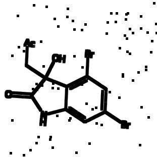 CC(=O)CC1(O)C(=O)Nc2cc(Br)cc(Br)c21